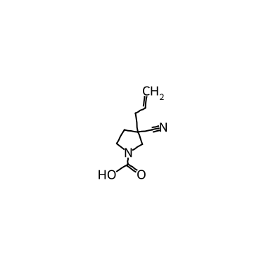 C=CCC1(C#N)CCN(C(=O)O)C1